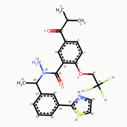 CC(C)C(=O)c1ccc(OCC(F)(F)F)c(C(=O)N(N)C(C)c2cccc(-c3nccs3)c2)c1